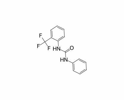 O=C(Nc1ccccc1)Nc1ccccc1C(F)(F)F